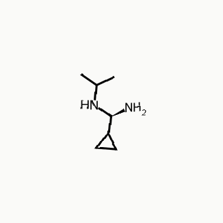 CC(C)N[C@@H](N)C1CC1